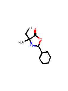 CC(C)CC1(C)NC(C2CCCCC2)OC1=O